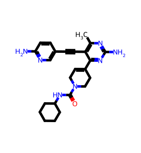 Cc1nc(N)nc(C2=CCN(C(=O)NC3CCCCC3)CC2)c1C#Cc1ccc(N)nc1